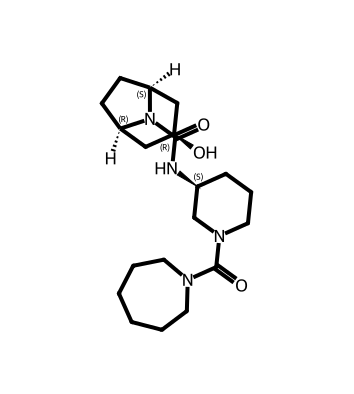 O=C(N1CCCCCC1)N1CCC[C@H](NC(=O)N2[C@@H]3CC[C@H]2C[C@@H](O)C3)C1